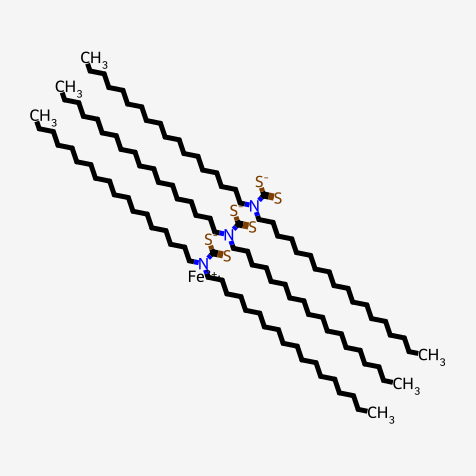 CCCCCCCCCCCCCCCCCCN(CCCCCCCCCCCCCCCCCC)C(=S)[S-].CCCCCCCCCCCCCCCCCCN(CCCCCCCCCCCCCCCCCC)C(=S)[S-].CCCCCCCCCCCCCCCCCCN(CCCCCCCCCCCCCCCCCC)C(=S)[S-].[Fe+3]